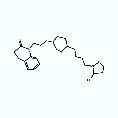 O=C1CCc2ccccc2N1CCCN1CCC(CCCCN2OCCC2O)CC1